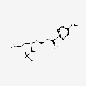 COc1ccc(C(=O)NCCN(CCN)C(=O)C(F)(F)F)cc1